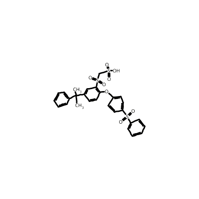 CC(C)(c1ccccc1)c1ccc(Oc2ccc(S(=O)(=O)c3ccccc3)cc2)c(S(=O)(=O)CS(=O)(=O)O)c1